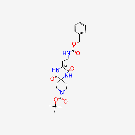 CC(C)(C)OC(=O)N1CCC2(CC1)NC(=O)[C@H](CCNC(=O)OCc1ccccc1)NC2=O